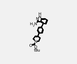 CC(C)(C)OC(=O)N1CC=C(c2ccc(-c3cccc4[nH]nc(N)c34)cc2)CC1